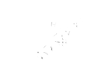 CC1CN(C2CC2)CCN1c1ccc(-c2ccc(S(C)(=O)=O)cc2)nn1